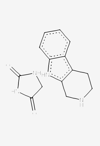 O=C1CNC(=O)N1.c1ccc2c3c([nH]c2c1)CNCC3